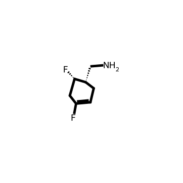 NC[C@@H]1CC=C(F)C[C@@H]1F